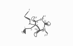 C=CCC1(CC=CC)C(=O)N(C)C(=O)N(C)C1=O